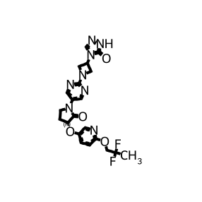 CC(F)(F)COc1ccc(O[C@@H]2CCN(c3cnc(N4CC(n5cn[nH]c5=O)C4)nc3)C2=O)cn1